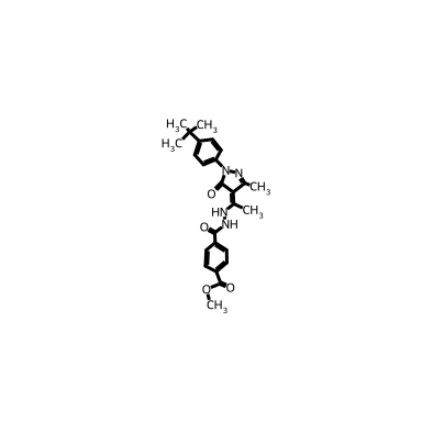 COC(=O)c1ccc(C(=O)NN/C(C)=C2\C(=O)N(c3ccc(C(C)(C)C)cc3)N=C2C)cc1